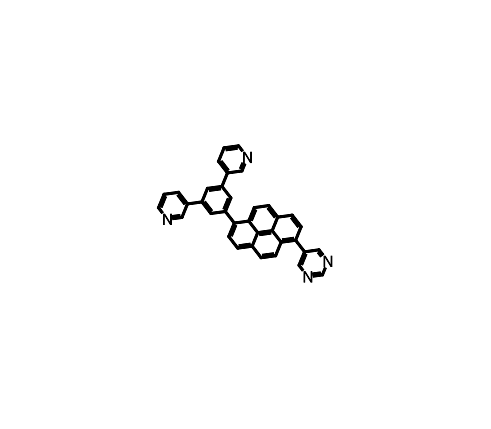 c1cncc(-c2cc(-c3cccnc3)cc(-c3ccc4ccc5c(-c6cncnc6)ccc6ccc3c4c65)c2)c1